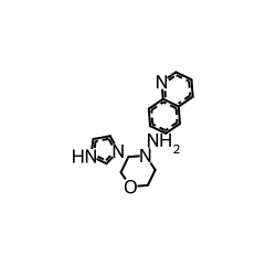 NN1CCOCC1.c1c[nH]cn1.c1ccc2ncccc2c1